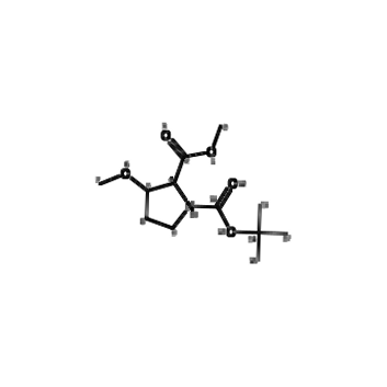 COC(=O)C1C(OC)CCN1C(=O)OC(C)(C)C